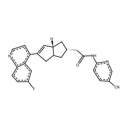 N#Cc1ccc(NC(=O)C[C@@H]2CC3CC(c4ccnc5ccc(F)cc45)=C[C@@H]3C2)nc1